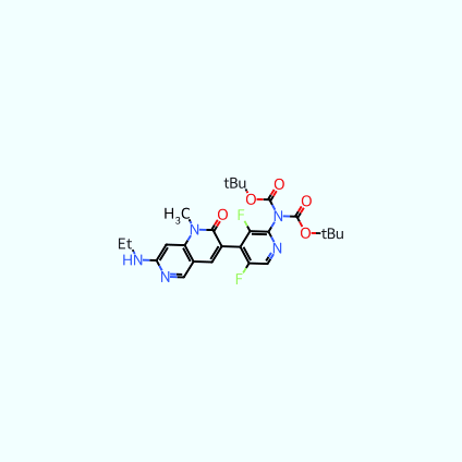 CCNc1cc2c(cn1)cc(-c1c(F)cnc(N(C(=O)OC(C)(C)C)C(=O)OC(C)(C)C)c1F)c(=O)n2C